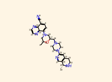 CC1CN(c2ccc(C#N)c3nccnc23)CC(CN2CCN(c3cc4c(cn3)[C@@H](C)NCC4)CC2)O1